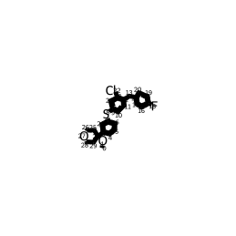 COC1(c2cccc(Sc3ccc(Cc4ccc(F)cc4)c(Cl)c3)c2)CCOCC1